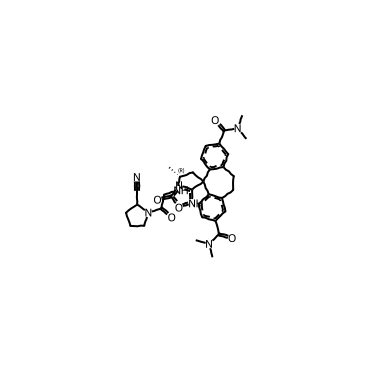 C[C@H](CC1(c2nc(=O)o[nH]2)c2ccc(C(=O)N(C)C)cc2CCc2cc(C(=O)N(C)C)ccc21)NCC(=O)N1CCCC1C#N